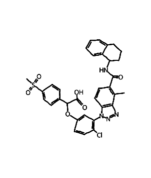 Cc1c(C(=O)NC2CCCc3ccccc32)ccc2c1nnn2-c1cc(OC(C(=O)O)c2ccc(S(C)(=O)=O)cc2)ccc1Cl